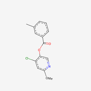 COc1cc(Cl)c(OC(=O)c2cccc(C)c2)cn1